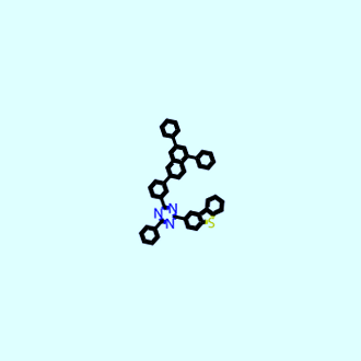 c1ccc(-c2cc(-c3ccccc3)c3ccc(-c4cccc(-c5nc(-c6ccccc6)nc(-c6ccc7sc8ccccc8c7c6)n5)c4)cc3c2)cc1